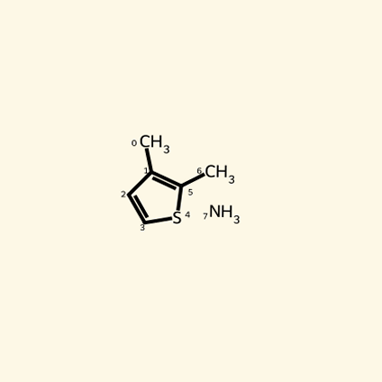 Cc1ccsc1C.N